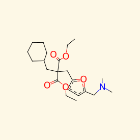 CCOC(=O)C(Cc1ccc(CN(C)C)o1)(CC1CCCCC1)C(=O)OCC